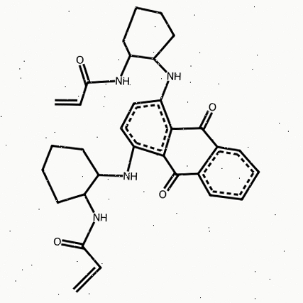 C=CC(=O)NC1CCCCC1Nc1ccc(NC2CCCCC2NC(=O)C=C)c2c1C(=O)c1ccccc1C2=O